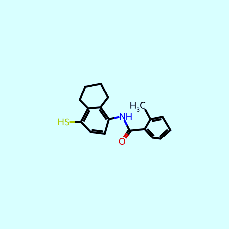 Cc1ccccc1C(=O)Nc1ccc(S)c2c1CCCC2